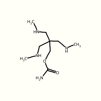 CNCC(CNC)(CNC)COC(N)=O